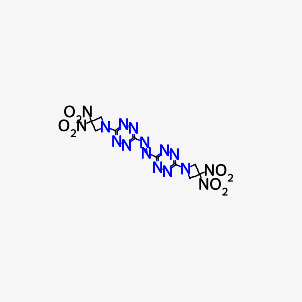 O=[N+]([O-])C1([N+](=O)[O-])CN(c2nnc(N=Nc3nnc(N4CC([N+](=O)[O-])([N+](=O)[O-])C4)nn3)nn2)C1